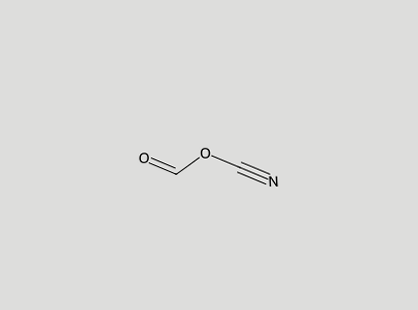 N#COC=O